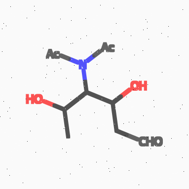 CC(=O)N(C(C)=O)C(C(C)O)C(O)CC=O